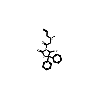 C=CC[C@@H](C)CC(=O)N1C(=O)OC(c2ccccc2)(c2ccccc2)C1C(C)C